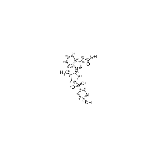 C[C@@H]1CN(S(=O)(=O)c2ccc(O)nc2)C[C@@H]1n1nc(CC(=O)O)c2ccccc21